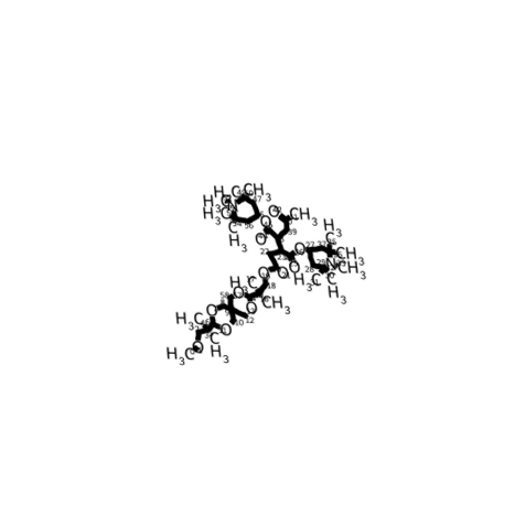 COCC(C)(C)C1OCC2(CO1)COC(C(C)(C)COC(=O)CC(C(=O)OC1CC(C)(C)N(C)C(C)(C)C1)C(CC(C)=O)C(=O)OC1CC(C)(C)N(C)C(C)(C)C1)OC2